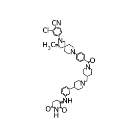 C[C@@H]1CC2(CCN(c3ccc(C(=O)N4CCC(CN5CCC(c6cccc(N[C@@H]7CCC(=O)NC7=O)c6)CC5)CC4)cc3)CC2)CN1c1ccc(C#N)c(Cl)c1